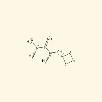 C1CCC1.CN(C)C(=N)N(C)C